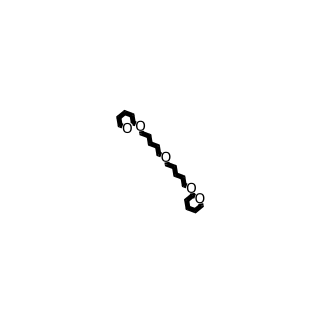 C(CCOCCCCCOC1CCCCO1)CCOC1CCCCO1